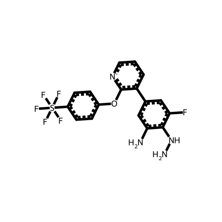 NNc1c(N)cc(-c2cccnc2Oc2ccc(S(F)(F)(F)(F)F)cc2)cc1F